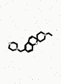 CCN1CCC2(C=Cc3cc(CN4CCOCC4)ccc3O2)CC1